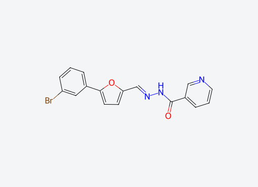 O=C(N/N=C/c1ccc(-c2cccc(Br)c2)o1)c1cccnc1